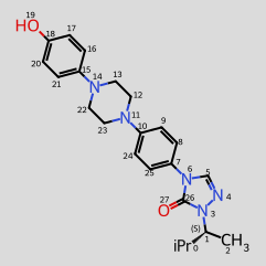 CC(C)[C@H](C)n1ncn(-c2ccc(N3CCN(c4ccc(O)cc4)CC3)cc2)c1=O